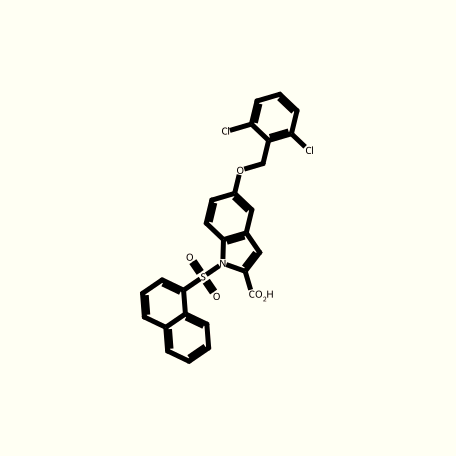 O=C(O)c1cc2cc(OCc3c(Cl)cccc3Cl)ccc2n1S(=O)(=O)c1cccc2ccccc12